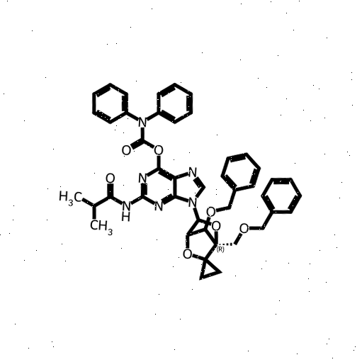 CC(C)C(=O)Nc1nc(OC(=O)N(c2ccccc2)c2ccccc2)c2ncn(C3O[C@]4(COCc5ccccc5)C(OCc5ccccc5)C3OC43CC3)c2n1